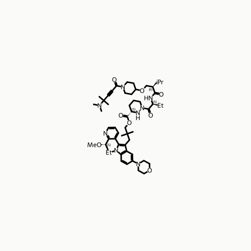 CC[C@H](NC(=O)[C@@H](COC1CCN(C(=O)C#CC(C)(C)N(C)C)CC1)C(C)C)C(=O)N1CCC[C@@H](C(=O)OCC(C)(C)Cc2c(-c3cccnc3[C@H](C)OC)n(CC)c3ccc(N4CCOCC4)cc23)N1